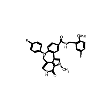 COc1ccc(F)cc1CNC(=O)c1ccc2c(c1)-c1cn(C)c3c(=O)[nH]cc(c13)CN2c1ccc(F)cc1